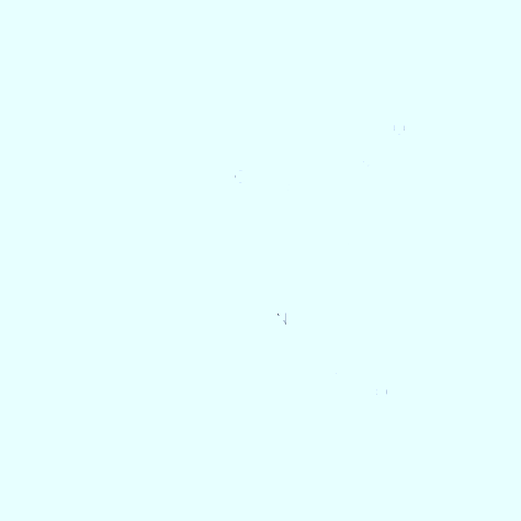 O=C1CC(=O)CC(CC2C(=O)CCN2Cc2ccccc2)C1